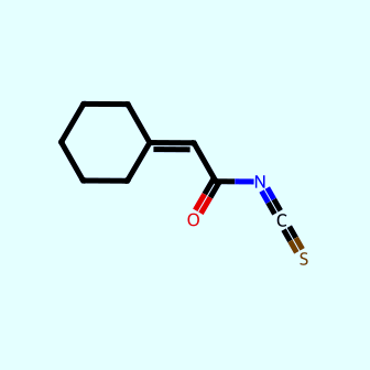 O=C(C=C1CCCCC1)N=C=S